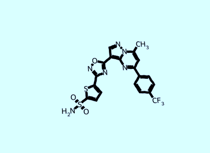 Cc1cc(-c2ccc(C(F)(F)F)cc2)nc2c(-c3nc(-c4ccc(S(N)(=O)=O)s4)no3)cnn12